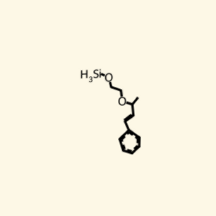 CC(C=Cc1ccccc1)OCCO[SiH3]